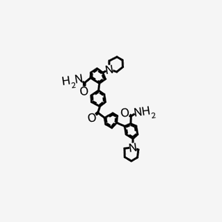 NC(=O)c1ccc(N2CCCCC2)cc1-c1ccc(C(=O)c2ccc(-c3cc(N4CCCCC4)ccc3C(N)=O)cc2)cc1